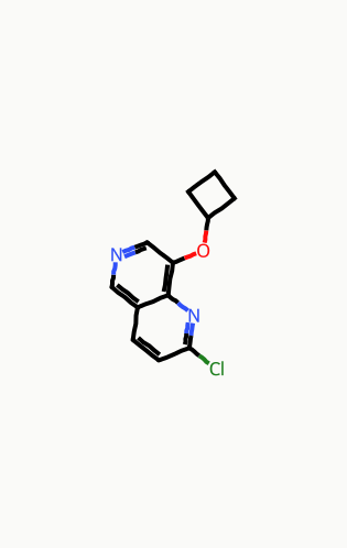 Clc1ccc2cncc(OC3CCC3)c2n1